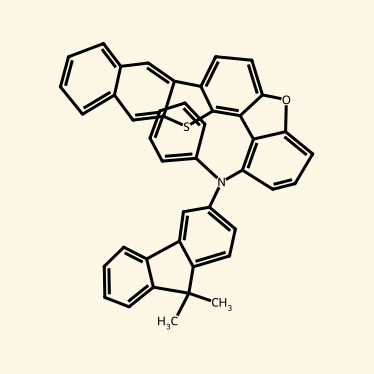 CC1(C)c2ccccc2-c2cc(N(c3ccccc3)c3cccc4oc5ccc6c7cc8ccccc8cc7sc6c5c34)ccc21